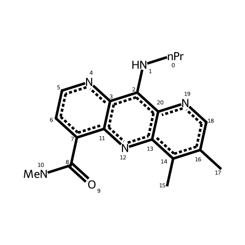 CCCNc1c2nccc(C(=O)NC)c2nc2c(C)c(C)cnc12